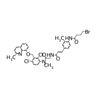 Cc1ccc2cccc(OCc3c(Cl)ccc(N(C)C(=O)CNC(=O)C=Cc4ccc(NC(=O)CCCBr)c(C)c4)c3Cl)c2n1